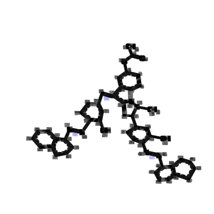 CC(=O)Oc1ccc2c(c1)/c(=C/c1ccc(/N=N/c3cccc4ccccc34)c(O)c1)c1n2N(C)C(c2ccc(/N=N/c3cccc4ccccc34)c(O)c2)C=1